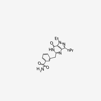 CCCc1nn(CC)c2c(=O)[nH]c(Cc3cccc(S(N)(=O)=O)c3)nc12